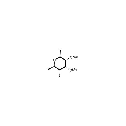 CO[C@@H]1[C@H](C)[C@@H](C)O[C@@H](C)[C@@H]1OC